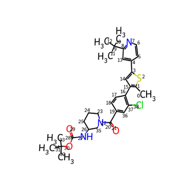 Cc1sc(-c2ccnc(C(C)(C)C)c2)cc1-c1ccc(C(=O)N2CCCC(NC(=O)OC(C)(C)C)C2)cc1Cl